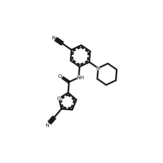 N#Cc1ccc(N2CCCCC2)c(NC(=O)c2ccc(C#N)o2)c1